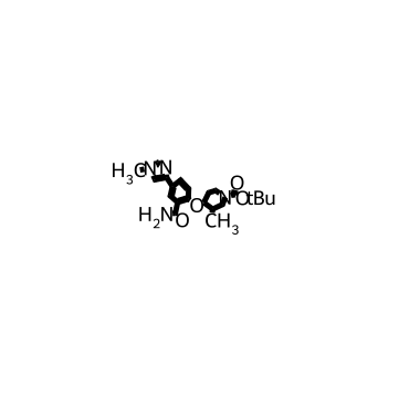 CC1CN(C(=O)OC(C)(C)C)CCC1Oc1ccc(-c2cn(C)cn2)cc1C(N)=O